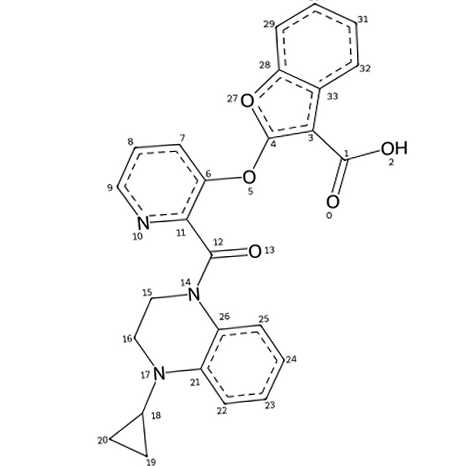 O=C(O)c1c(Oc2cccnc2C(=O)N2CCN(C3CC3)c3ccccc32)oc2ccccc12